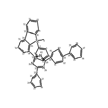 CS1(c2ccccc2)c2ccccc2-c2cccc(-c3nc(-c4ccccc4)nc(-c4ccc(-c5ccccc5)cc4)n3)c21